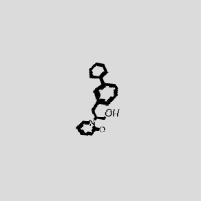 O=c1ccccn1C(CO)Cc1cccc(C2=CC=CCC2)c1